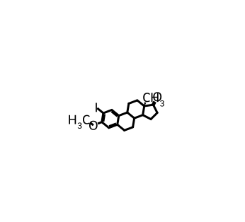 COc1cc2c(cc1I)C1CC[C@]3(C)C(=O)CCC3C1CC2